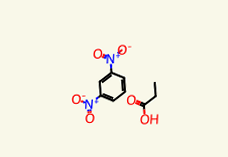 CCC(=O)O.O=[N+]([O-])c1cccc([N+](=O)[O-])c1